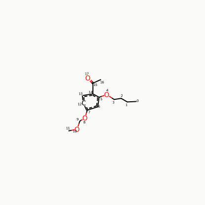 CCCCOc1cc(OCOC)ccc1C(C)=O